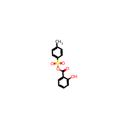 Cc1ccc(S(=O)(=O)OC(=O)c2ccccc2O)cc1